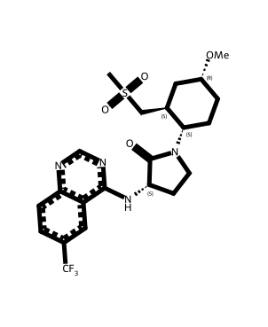 CO[C@@H]1CC[C@H](N2CC[C@H](Nc3ncnc4ccc(C(F)(F)F)cc34)C2=O)[C@@H](CS(C)(=O)=O)C1